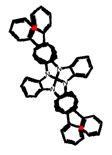 c1ccc(-c2ccc(N3c4ccccc4N(c4ccc(-c5ccccc5)cc4)C34N(c3ccc(-c5ccccc5)cc3)c3ccccc3N4c3ccc(-c4ccccc4)cc3)cc2)cc1